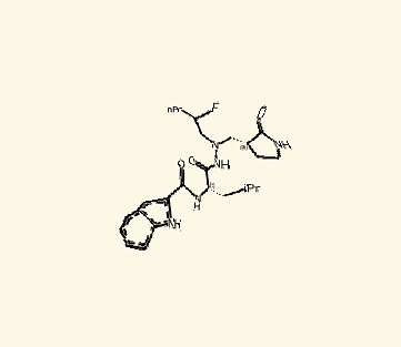 CCCC(F)CN(C[C@H]1CCNC1=O)NC(=O)[C@H](CC(C)C)NC(=O)c1cc2ccccc2[nH]1